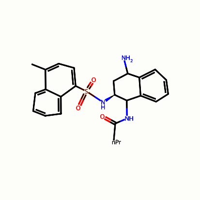 CCCC(=O)NC1c2ccccc2C(N)C[C@@H]1NS(=O)(=O)c1ccc(C)c2ccccc12